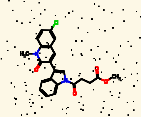 COC(=O)CCC(=O)n1cc(-c2cc3cc(Cl)ccc3n(C)c2=O)c2ccccc21